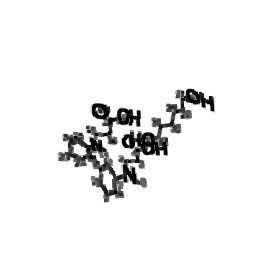 CN(CCC(=O)O)c1ccccc1.CN(CCC(=O)O)c1ccccc1.OCCCCCCO